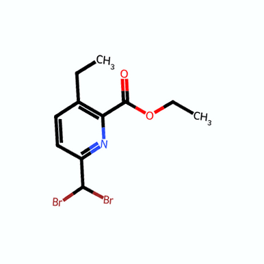 CCOC(=O)c1nc(C(Br)Br)ccc1CC